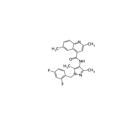 Cc1ccc2nc(C)cc(C(=O)Nc3c(C)nn(Cc4ccc(F)cc4F)c3C)c2c1